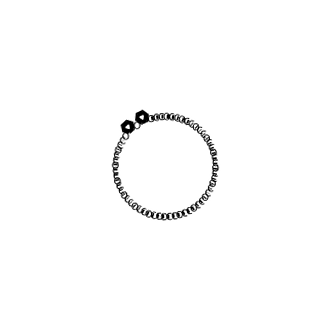 c1ccc2c(c1)OCCOCCOCCOCCOCCOCCOCCOCCOCCOCCOCCOCCOCCOCCOCCOCCOCCOCCOc1ccccc1O2